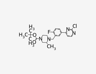 CC1CN(C(=O)OC(C)(C)C)CCN1Cc1cc(-c2ccnc(Cl)n2)ccc1F